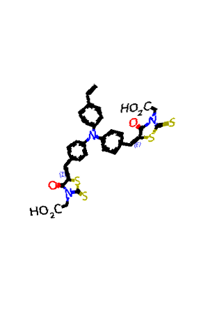 C=Cc1ccc(N(c2ccc(/C=C3\SC(=S)N(CC(=O)O)C3=O)cc2)c2ccc(/C=C3/SC(=S)N(CC(=O)O)C3=O)cc2)cc1